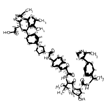 Cc1ncsc1-c1ccc(C(C)NC(=O)[C@@H]2C[C@@H](O)CN2C(=O)C(NC(=O)c2cc3cc(NC(=O)[C@@H]4CCN(c5ccc(C6=N[C@@H](CC(=O)O)c7nnc(C)n7-c7sc(C)c(C)c76)cc5)C4)ccc3o2)C(C)(C)C)cc1